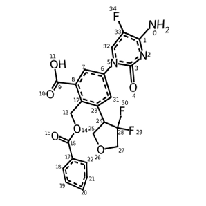 Nc1nc(=O)n(-c2cc(C(=O)O)c(COC(=O)c3ccccc3)c(C3COCC3(F)F)c2)cc1F